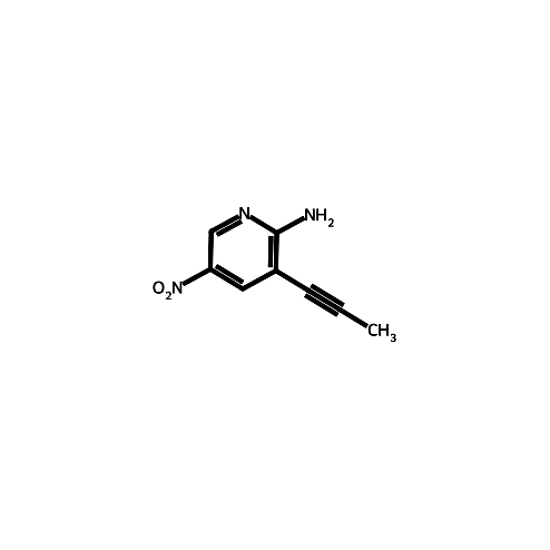 CC#Cc1cc([N+](=O)[O-])cnc1N